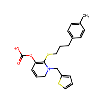 Cc1ccc(CCCSC2=C(OC(=O)O)C=CCN2Cc2cccs2)cc1